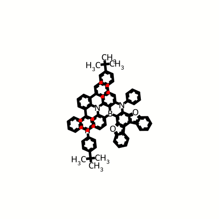 CC(C)(C)c1ccc(-c2cc3c4c(c2)N(c2ccccc2)c2c(c5oc6ccccc6c5c5c2oc2ccccc25)B4c2ccc(N(c4ccccc4)c4ccc(C(C)(C)C)cc4)cc2N3c2c(-c3ccccc3)cccc2-c2ccccc2)cc1